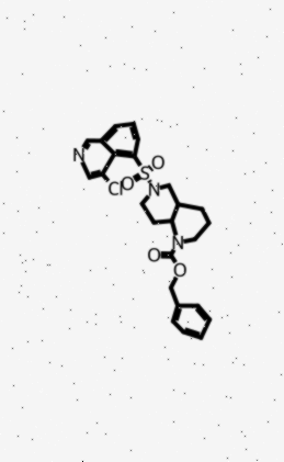 O=C(OCc1ccccc1)N1CCCC2CN(S(=O)(=O)c3cccc4cncc(Cl)c34)CCC21